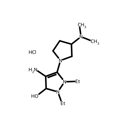 CCN1C(N2CCC(N(C)C)C2)=C(N)C(O)N1CC.Cl